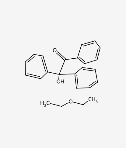 CCOCC.O=C(c1ccccc1)C(O)(c1ccccc1)c1ccccc1